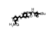 CC(C)(C)c1cc(NC(=O)Nc2ccc(CCc3ccnc(C(N)=O)c3)cc2F)no1